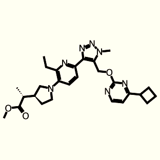 CCc1nc(-c2nnn(C)c2COc2nccc(C3CCC3)n2)ccc1N1CC[C@@H]([C@@H](C)C(=O)OC)C1